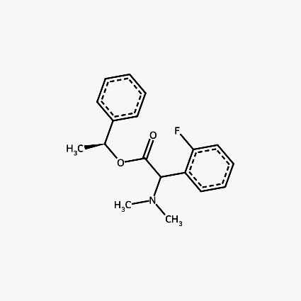 C[C@H](OC(=O)C(c1ccccc1F)N(C)C)c1ccccc1